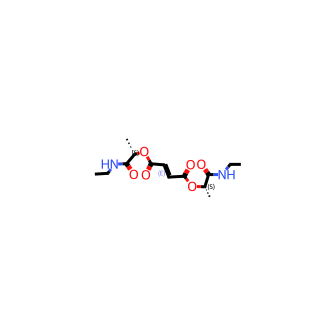 CCNC(=O)[C@H](C)OC(=O)/C=C/C(=O)O[C@@H](C)C(=O)NCC